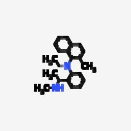 CCN(c1ccccc1C(C)NC)c1c(C)ccc2ccccc12